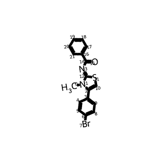 Cn1c(-c2ccc(Br)cc2)cs/c1=N\C(=O)c1ccccc1